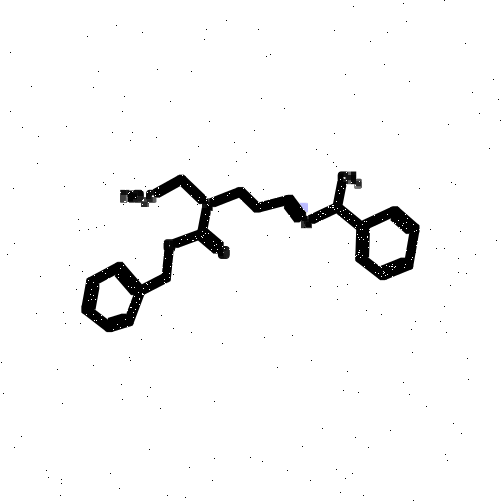 CCOC(=O)CN(CC/C=N/C(C)c1ccccc1)C(=O)OCc1ccccc1